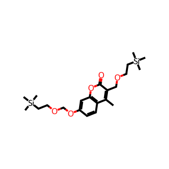 Cc1c(COCC[Si](C)(C)C)c(=O)oc2cc(OCOCC[Si](C)(C)C)ccc12